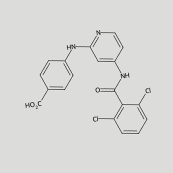 O=C(O)c1ccc(Nc2cc(NC(=O)c3c(Cl)cccc3Cl)ccn2)cc1